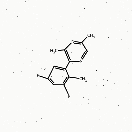 Cc1cnc(-c2cc(F)cc(F)c2C)c(C)n1